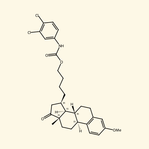 COc1ccc2c(c1)CC[C@H]1[C@@H]3[C@H](CCCCOC(=O)Nc4ccc(Cl)c(Cl)c4)CC(=O)[C@@]3(C)CC[C@H]21